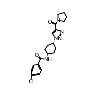 O=C(N[C@H]1CC[C@@H](n2cc(C(=O)N3CCCC3)nn2)CC1)c1ccc(Cl)cc1